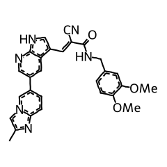 COc1ccc(CNC(=O)/C(C#N)=C/c2c[nH]c3ncc(-c4ccc5nc(C)cn5c4)cc23)cc1OC